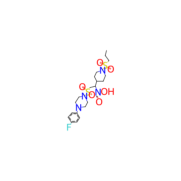 CCCS(=O)(=O)N1CCC(C(CS(=O)(=O)N2CCN(c3ccc(F)cc3)CC2)N(O)C=O)CC1